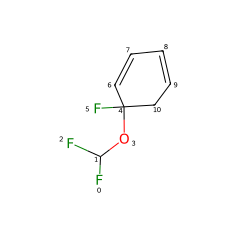 FC(F)OC1(F)C=CC=CC1